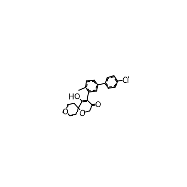 Cc1ccc(-c2ccc(Cl)cc2)cc1C1=C(O)C2(CCOCC2)OCC1=O